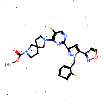 CC(C)(C)OC(=O)N1CCC2(CCN(c3nc(-c4cc(-c5ccon5)n(Cc5ccccc5F)n4)ncc3F)C2)C1